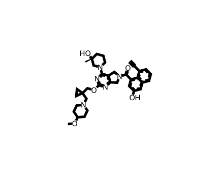 C#Cc1cccc2cc(O)cc(C(=O)N3Cc4nc(OCC5(CN6CCC(OC)CC6)CC5)nc(N5CCC[C@@](C)(O)C5)c4C3)c12